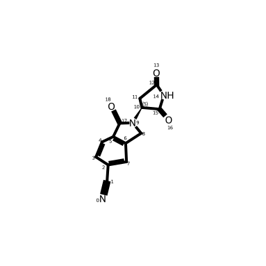 N#Cc1ccc2c(c1)CN([C@H]1CC(=O)NC1=O)C2=O